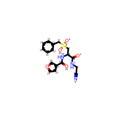 N#CCNC(=O)C(CS(=O)(=O)Cc1ccccc1)NC(=O)c1ccoc1